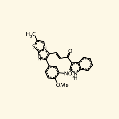 COc1ccc(-c2nc3sc(C)cn3c2C=CC(=O)c2c[nH]c3ccccc23)cc1[N+](=O)[O-]